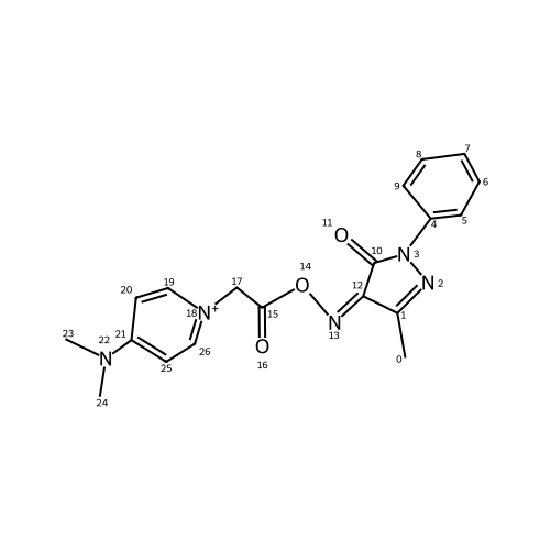 CC1=NN(c2ccccc2)C(=O)C1=NOC(=O)C[n+]1ccc(N(C)C)cc1